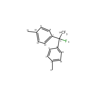 Cc1ccc(C(F)(c2ccc(C)cc2)C(F)(F)F)cc1